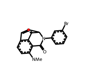 CNc1ccc2c3c1C(=O)N(c1cccc(Br)c1)C(C=C2)C3=O